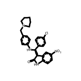 O=C1Nc2ccc([N+](=O)[O-])cc2C1=C(Nc1ccc(CN2CCCCC2)cc1)c1ccc(Cl)cc1